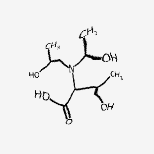 CC(O)C(C(=O)O)N(C(C)O)C(C)O